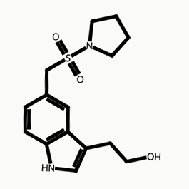 O=S(=O)(Cc1ccc2[nH]cc(CCO)c2c1)N1CCCC1